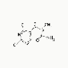 C[C@@H](Nc1ccc(Cl)nc1Cl)C(N)=O